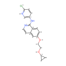 Clc1ccc(Nc2nccc3cc(OCCOC4CC4)ccc23)cn1